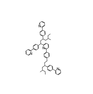 CCC(C)CC(CCc1ccc(-c2cccc(C(CC(CC(C)CC)c3ccc(-c4ccccn4)cc3)c3ccc(-c4ccccn4)cc3)n2)cc1)c1ccc(-c2ccccn2)cc1